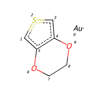 [Au].c1scc2c1OCCO2